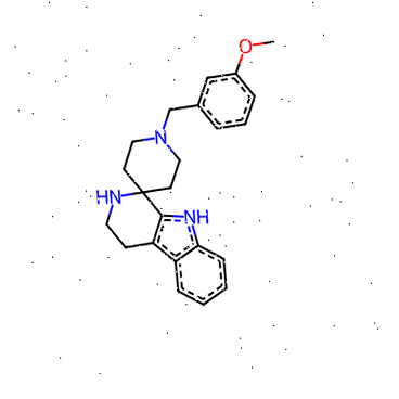 COc1cccc(CN2CCC3(CC2)NCCc2c3[nH]c3ccccc23)c1